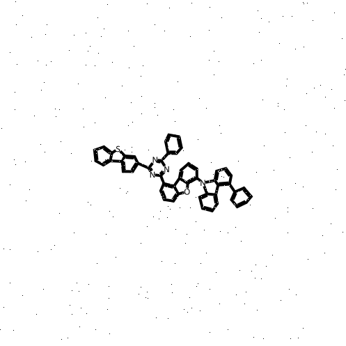 c1ccc(-c2nc(-c3ccc4c(c3)sc3ccccc34)nc(-c3cccc4oc5c(-n6c7ccccc7c7c(-c8ccccc8)cccc76)cccc5c34)n2)cc1